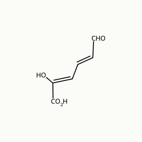 O=CC=CC=C(O)C(=O)O